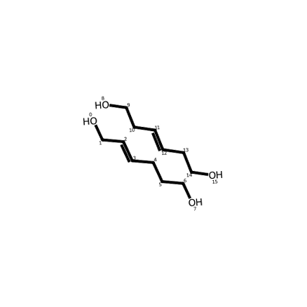 OC/C=C/CCCO.OCC/C=C/CCO